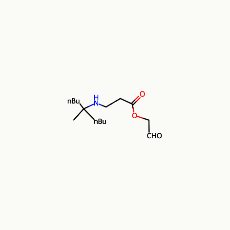 CCCCC(C)(CCCC)NCCC(=O)OCC=O